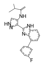 C=C(Nc1c[nH]nc1-c1nc2c(-c3cccc(F)c3)cccc2[nH]1)C(C)C